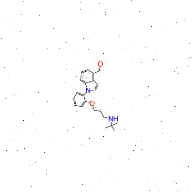 CC(C)(C)NCCCOc1ccccc1-n1ccc2c(C=O)cccc21